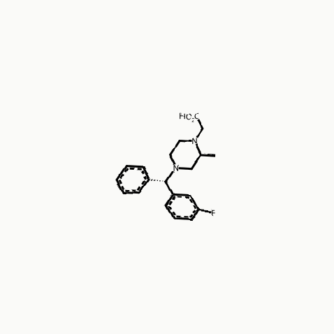 CC1CN([C@@H](c2ccccc2)c2cccc(F)c2)CCN1CC(=O)O